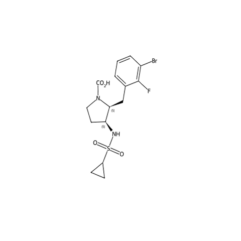 O=C(O)N1CC[C@H](NS(=O)(=O)C2CC2)[C@@H]1Cc1cccc(Br)c1F